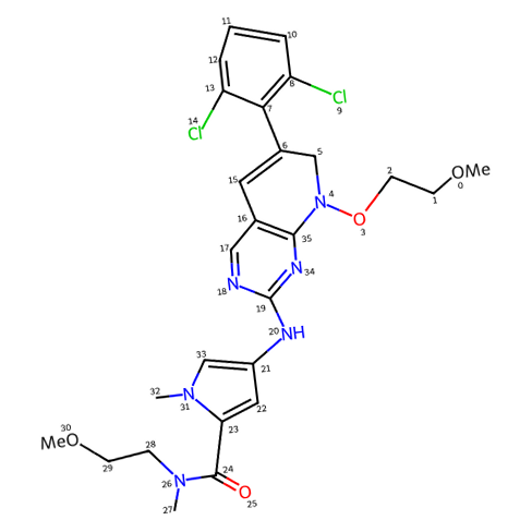 COCCON1CC(c2c(Cl)cccc2Cl)=Cc2cnc(Nc3cc(C(=O)N(C)CCOC)n(C)c3)nc21